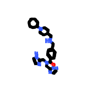 O=C(c1ccc(CNCC2CCN(C3CCCCCC3)CC2)cc1)N(Cc1ncc[nH]1)Cc1ncc[nH]1